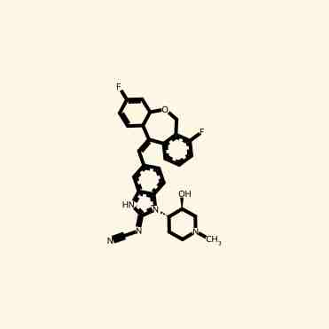 CN1CC[C@H](n2/c(=N/C#N)[nH]c3cc(/C=C4\c5cccc(F)c5COC5C=C(F)C=CC45)ccc32)[C@@H](O)C1